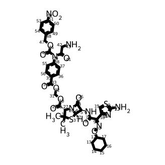 CC1(C)S[C@@H]2[C@@H](NC(=O)/C(=N\OC3CCCCC3)c3csc(N)n3)C(=O)N2[C@H]1C(=O)OCOC(=O)c1ccc(N(C(=O)CN)C(=O)OCc2ccc([N+](=O)[O-])cc2)cc1